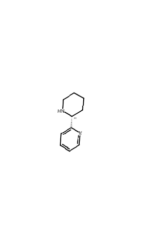 c1ccc([C@H]2CCCCN2)nc1